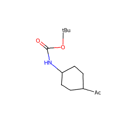 CC(=O)C1CCC(NC(=O)OC(C)(C)C)CC1